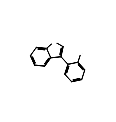 Sc1ccccc1-c1coc2ccccc12